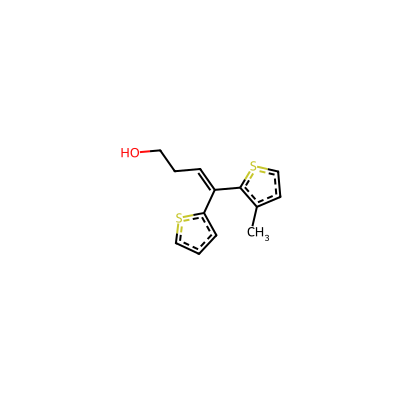 Cc1ccsc1C(=CCCO)c1cccs1